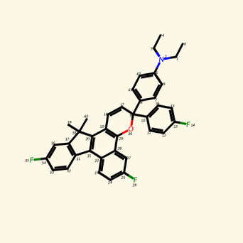 CCN(CC)c1ccc(C2(c3ccc(F)cc3)C=Cc3c4c(c5ccc(F)cc5c3O2)-c2ccc(F)cc2C4(C)C)cc1